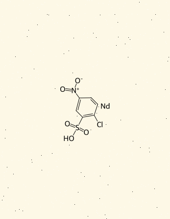 O=[N+]([O-])c1ccc(Cl)c(S(=O)(=O)O)c1.[Nd]